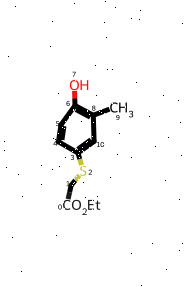 CCOC(=O)CSc1ccc(O)c(C)c1